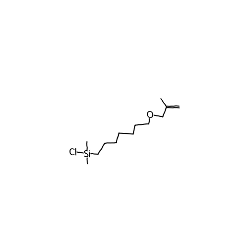 C=C(C)COCCCCCCC[Si](C)(C)Cl